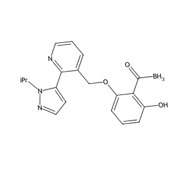 BC(=O)c1c(O)cccc1OCc1cccnc1-c1ccnn1C(C)C